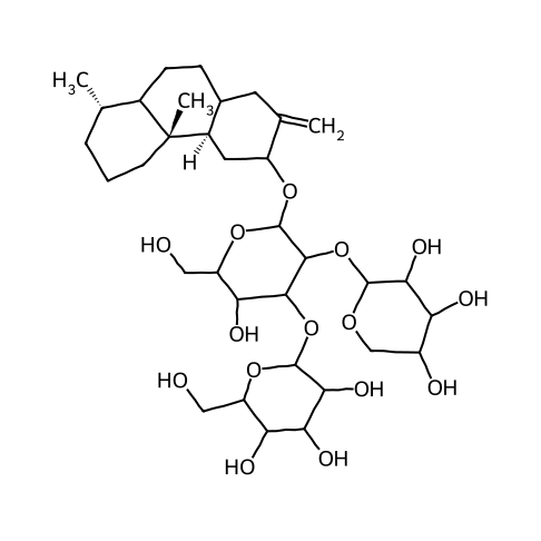 C=C1CC2CCC3[C@@H](C)CCC[C@@]3(C)[C@@H]2CC1OC1OC(CO)C(O)C(OC2OC(CO)C(O)C(O)C2O)C1OC1OCC(O)C(O)C1O